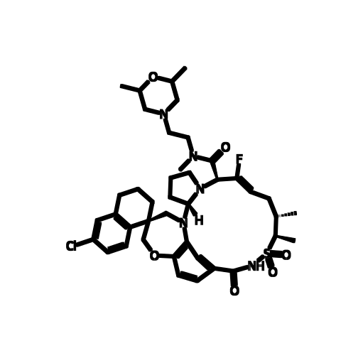 CC1CN(CCN(C)C(=O)[C@H]2/C(F)=C/C[C@H](C)[C@@H](C)S(=O)(=O)NC(=O)c3ccc4c(c3)N(C[C@@]3(CCCc5cc(Cl)ccc53)CO4)[C@@H]3CCCN23)CC(C)O1